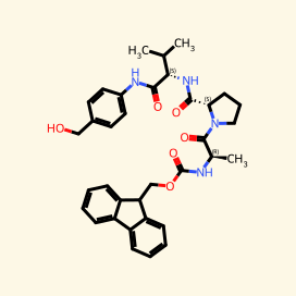 CC(C)[C@H](NC(=O)[C@@H]1CCCN1C(=O)[C@@H](C)NC(=O)OCC1c2ccccc2-c2ccccc21)C(=O)Nc1ccc(CO)cc1